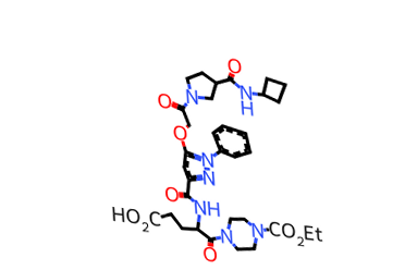 CCOC(=O)N1CCN(C(=O)C(CCC(=O)O)NC(=O)c2cc(OCC(=O)N3CCC(C(=O)NC4CCC4)C3)n(-c3ccccc3)n2)CC1